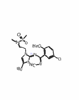 COc1ccc(Cl)cc1C(=NC#N)/N=c1\sc(C(C)(C)C)cn1CCN(C)S(C)(=O)=O